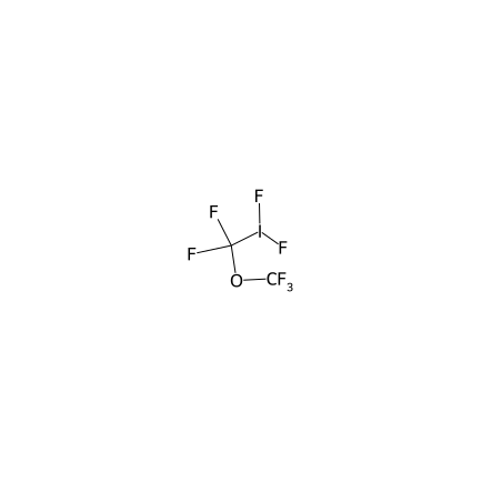 FI(F)C(F)(F)OC(F)(F)F